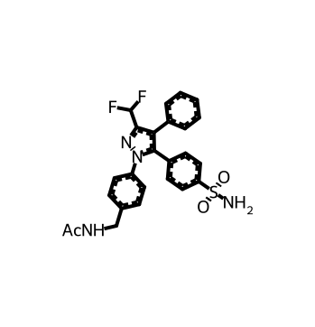 CC(=O)NCc1ccc(-n2nc(C(F)F)c(-c3ccccc3)c2-c2ccc(S(N)(=O)=O)cc2)cc1